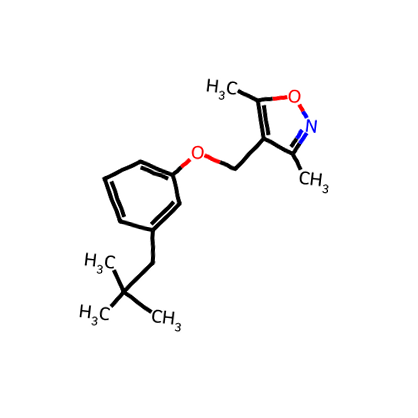 Cc1noc(C)c1COc1cccc(CC(C)(C)C)c1